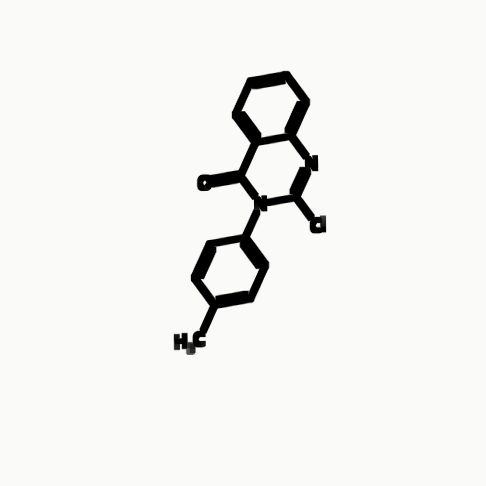 Cc1ccc(-n2c(Cl)nc3ccccc3c2=O)cc1